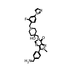 Cn1nc2c(=O)n(CC3(O)CCN(Cc4ccc(-n5ccnc5)cc4F)CC3)cnc2c1-c1ccc(CN)cc1